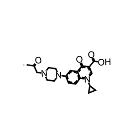 [CH2]C(=O)CN1CCN(c2ccc3c(c2)c(=O)c(C(=O)O)cn3C2CC2)CC1